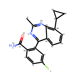 Cc1nc(-c2cc(F)ccc2C(N)=O)c2cccc(C3CC3)c2n1